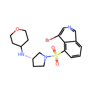 O=S(=O)(c1cccc2cncc(Br)c12)N1CC[C@H](NC2CCOCC2)C1